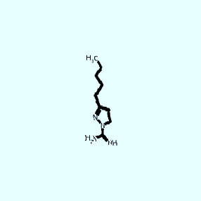 CCCCCC1=NN(C(=N)N)CC1